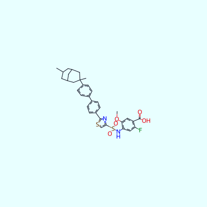 COc1cc(C(=O)O)c(F)cc1NS(=O)(=O)c1csc(-c2ccc(-c3ccc(C4(C)CC5CC(C)CC(C5)C4)cc3)cc2)n1